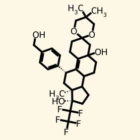 CC1(C)COC2(CCC3=C4C(CCC3(O)C2)C2CC[C@@](O)(C(F)(F)C(F)(F)F)[C@@]2(C)C[C@@H]4c2ccc(CO)cc2)OC1